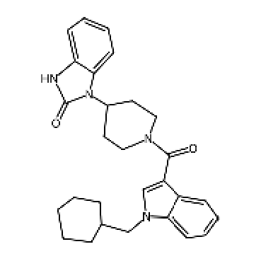 O=C(c1cn(CC2CCCCC2)c2ccccc12)N1CCC(n2c(=O)[nH]c3ccccc32)CC1